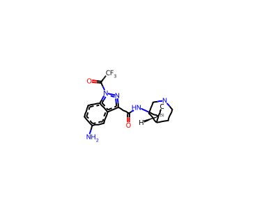 Nc1ccc2c(c1)c(C(=O)N[C@@H]1CN3CCC1CC3)nn2C(=O)C(F)(F)F